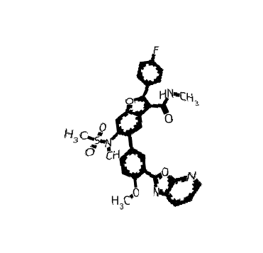 CNC(=O)c1c(-c2ccc(F)cc2)oc2cc(N(C)S(C)(=O)=O)c(-c3ccc(OC)c(-c4nc5cccnc5o4)c3)cc12